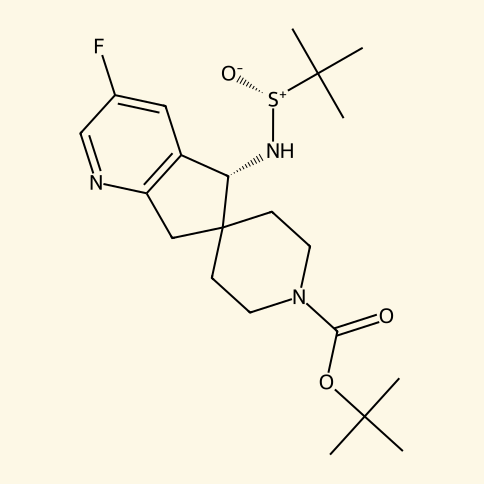 CC(C)(C)OC(=O)N1CCC2(CC1)Cc1ncc(F)cc1[C@@H]2N[S@+]([O-])C(C)(C)C